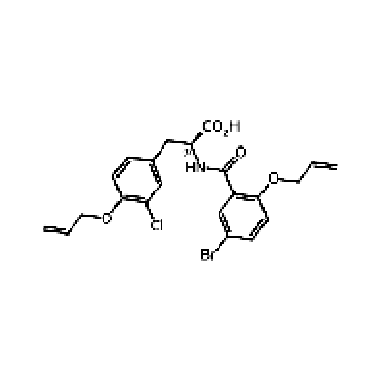 C=CCOc1ccc(C[C@H](NC(=O)c2cc(Br)ccc2OCC=C)C(=O)O)cc1Cl